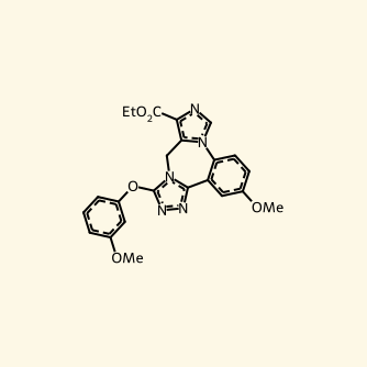 CCOC(=O)c1ncn2c1Cn1c(Oc3cccc(OC)c3)nnc1-c1cc(OC)ccc1-2